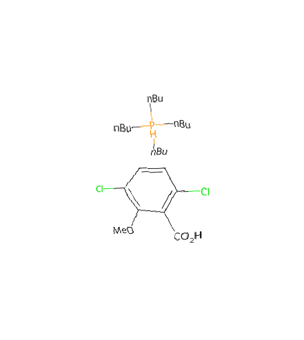 CCCC[PH](CCCC)(CCCC)CCCC.COc1c(Cl)ccc(Cl)c1C(=O)O